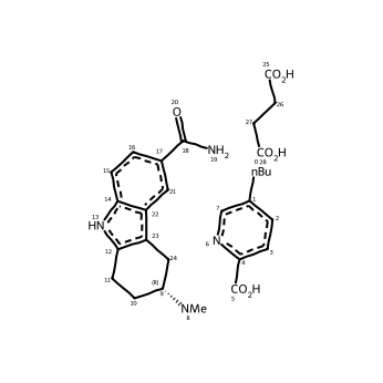 CCCCc1ccc(C(=O)O)nc1.CN[C@@H]1CCc2[nH]c3ccc(C(N)=O)cc3c2C1.O=C(O)CCC(=O)O